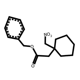 O=C(CC1(C[N+](=O)[O-])CCCCC1)OCc1ccccc1